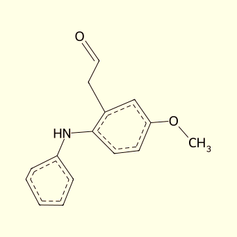 COc1ccc(Nc2ccccc2)c(CC=O)c1